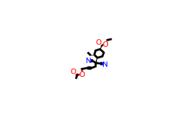 CCOC(=O)[C@H]1CC[C@@H](C(C#N)(C#N)CC#CCOC(C)=O)[C@H](CC)C1